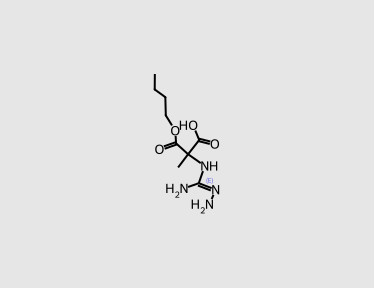 CCCCOC(=O)C(C)(N/C(N)=N/N)C(=O)O